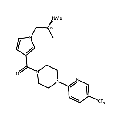 CN[C@@H](C)Cn1ccc(C(=O)N2CCN(c3ccc(C(F)(F)F)cn3)CC2)c1